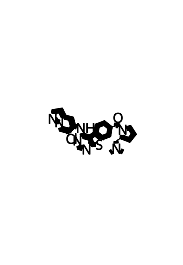 CN(C)C[C@H]1CCCN1C(=O)[C@H]1CCc2c(sc3ncnc(Nc4cc5ccnn5cc4Cl)c23)C1